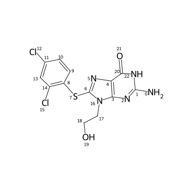 Nc1nc2c(nc(Sc3ccc(Cl)cc3Cl)n2CCO)c(=O)[nH]1